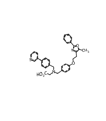 Cc1oc(-c2ccccc2)nc1CCOc1ccc(CN(CC(=O)O)Cc2ccc(-c3cccnc3)cc2)cc1